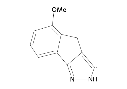 COc1cccc2c1Cc1[c][nH]nc1-2